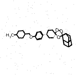 CC1CCC(COc2ccc([C@H]3CC[C@]4(CC3)OO[C@]3(O4)C4CC5CC(C4)CC3C5)cc2)CC1